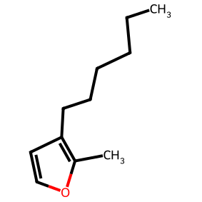 CCCCCCc1ccoc1C